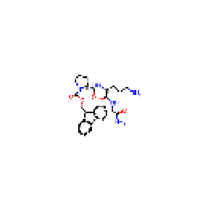 NCCC[C@H](NC(=O)[C@@H]1CCCN1C(=O)OCC1c2ccccc2-c2ccccc21)C(=O)NCC(N)=O